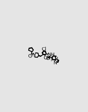 Cc1c(C=C2CCN(C(=O)C3CCCC3)CC2)cc(Cl)cc1NC(=O)c1ccn2ccnc2c1